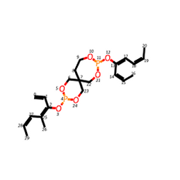 C=C/C(OP1OCC2(CCOP(OC(/C=C\C)=C/C=C\C)OC2)CO1)=C(C)\C=C/C